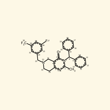 Cc1nc2c(c(=O)n1C(c1ccccc1)c1ccccc1)CN(Cc1cc(F)cc(C(F)(F)F)c1)CC2